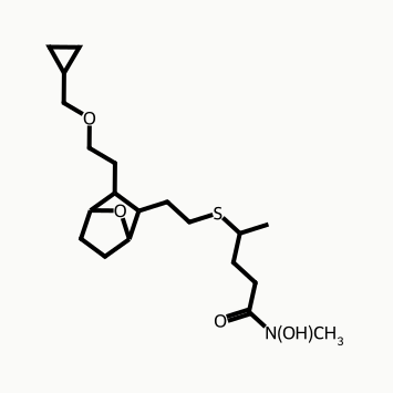 CC(CCC(=O)N(C)O)SCCC1C2CCC(O2)C1CCOCC1CC1